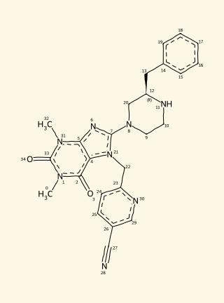 Cn1c(=O)c2c(nc(N3CCN[C@H](Cc4ccccc4)C3)n2Cc2ccc(C#N)cn2)n(C)c1=O